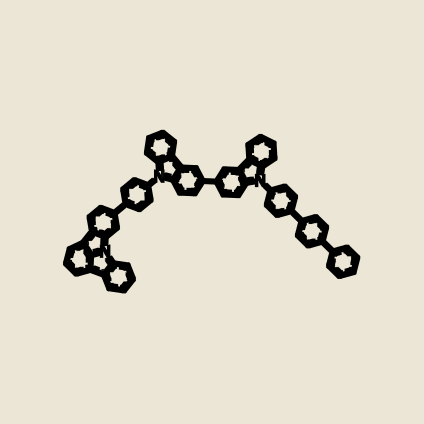 c1ccc(-c2ccc(-c3ccc(-n4c5ccccc5c5cc(-c6ccc7c(c6)c6ccccc6n7-c6ccc(-c7ccc8c9cccc%10c%11ccccc%11n(c8c7)c%109)cc6)ccc54)cc3)cc2)cc1